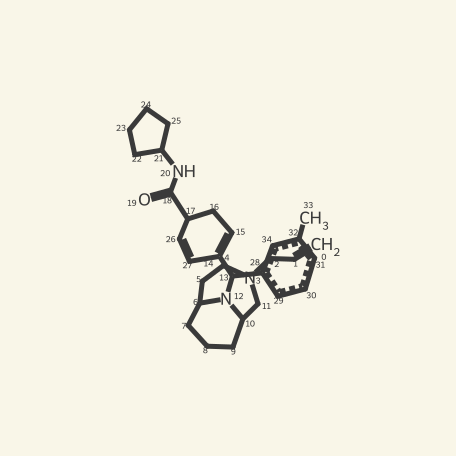 C=CCN1CCC2CCCC(C1)N2C(C1=CCC(C(=O)NC2CCCC2)C=C1)c1cccc(C)c1